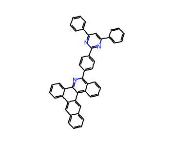 c1ccc(-c2cc(-c3ccccc3)nc(-c3ccc(-c4nc5c6ccccc6c6cc7ccccc7cc6c5c5ccccc45)cc3)n2)cc1